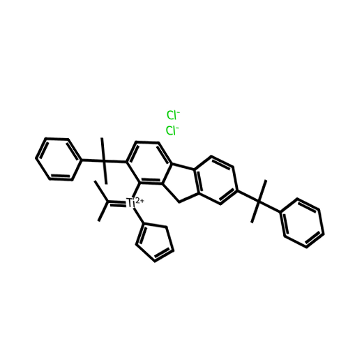 C[C](C)=[Ti+2]([C]1=CC=CC1)[c]1c(C(C)(C)c2ccccc2)ccc2c1Cc1cc(C(C)(C)c3ccccc3)ccc1-2.[Cl-].[Cl-]